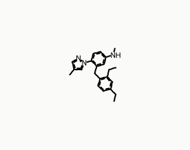 CCc1ccc(Cc2cc(NC)ccc2-n2cc(C)cn2)c(CC)c1